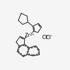 C1=CC(C2CCCC2)=[C]([Zr+2][C]2=CCc3ccc4ccccc4c32)C1.[Cl-].[Cl-]